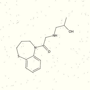 CC(O)CNCC(=O)N1CCCSc2ccccc21